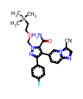 C[Si](C)(C)CCOCn1nc(-c2ccc(F)cc2)c(-c2ccc3ncc(C#N)n3c2)c1C(N)=O